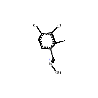 O/N=C/c1ccc(Cl)c(Cl)c1F